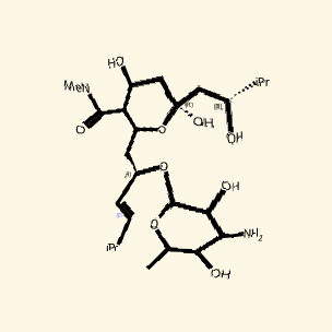 CNC(=O)C1C(O)C[C@@](O)(C[C@@H](O)C(C)C)OC1C[C@H](/C=C/C(C)C)OC1OC(C)C(O)C(N)C1O